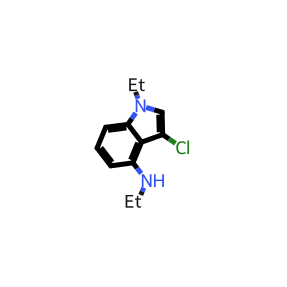 CCNc1cccc2c1c(Cl)cn2CC